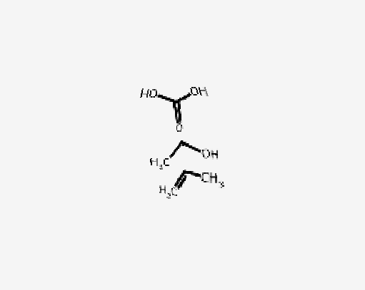 C=CC.CCO.O=C(O)O